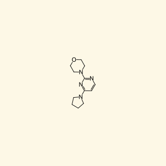 c1cc(N2CCCC2)nc(N2CCOCC2)n1